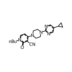 CCCCn1ccc(N2CCN(c3ncc(C4CC4)cn3)CC2)c(C#N)c1=O